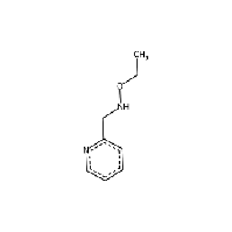 CCONCc1ccccn1